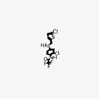 O=C(Nc1ccc([AsH]Cc2ccc(Cl)s2)cc1Cl)C(F)(F)F